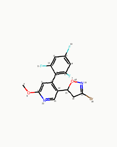 COc1cc(-c2c(F)cc(F)cc2F)c(C2CC(Br)=NO2)cn1